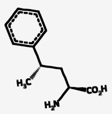 C[C@@H](C[C@H](N)C(=O)O)c1ccccc1